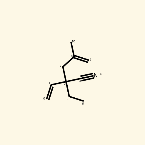 C=CC(C#N)(CC)CC(=C)C